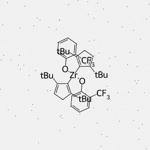 CC(C)(C)C1=CCC(C(C)(C)C)=[C]1[Zr]([O]c1ccccc1C(F)(F)F)([O]c1ccccc1C(F)(F)F)[C]1=C(C(C)(C)C)CC=C1C(C)(C)C